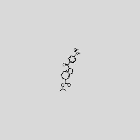 CC(C)OC(=O)C1C=C2C=CC(C(=O)c3ccc([S+](C)[O-])cc3)N2CCC1